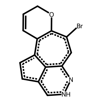 Brc1cc2n[nH]cc3ccc(c4c1OCC=C4)c32